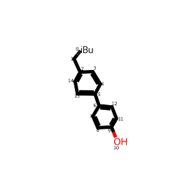 CCC(C)Cc1ccc(-c2ccc(O)cc2)cc1